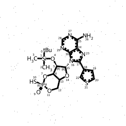 CC(C)(C)[Si](C)(C)O[C@@H]1C2O[P@](=O)(S)OCC2O[C@H]1n1c(-c2ccsc2)nc2c(N)ncnc21